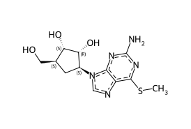 CSc1nc(N)nc2c1ncn2[C@H]1C[C@@H](CO)[C@H](O)[C@@H]1O